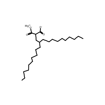 CCCCCCCCCCC(CCCCCCCCCC)CC(C(=O)[O-])C(=O)[O-].[Mg+2]